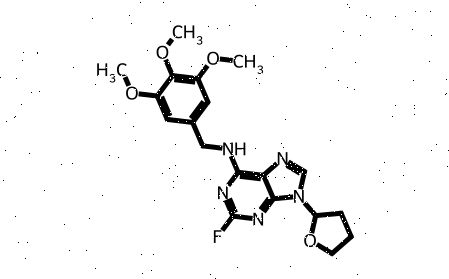 COc1cc(CNc2nc(F)nc3c2ncn3C2CCCO2)cc(OC)c1OC